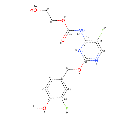 COc1ccc(COc2ncc(F)c(NC(=O)OCCO)n2)cc1F